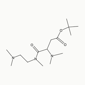 CN(C)CCN(C)C(=O)C(CC(=O)OC(C)(C)C)N(C)C